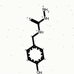 NNC(=S)NCc1ccc(O)cc1